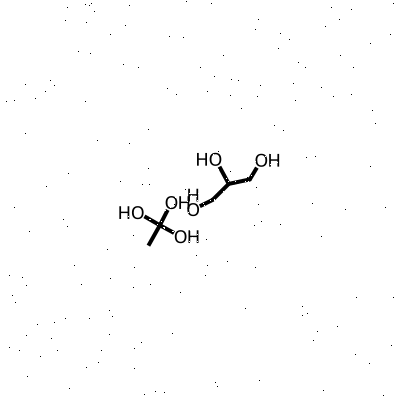 CC(O)(O)O.OCC(O)CO